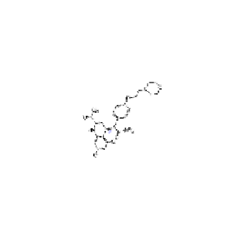 NC(=O)/C(=C1/CC(C(=O)O)Nc2cc(Cl)cc(Cl)c21)c1ccc(OCCN2CCOCC2)cc1